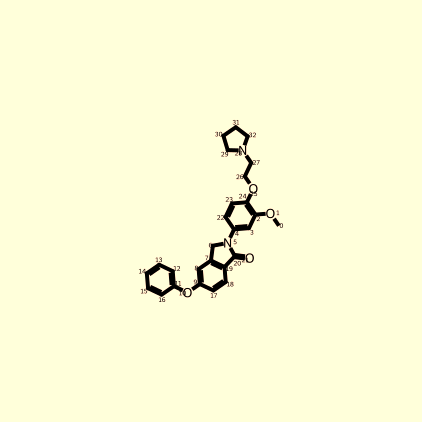 COc1cc(N2Cc3cc(Oc4ccccc4)ccc3C2=O)ccc1OCCN1CCCC1